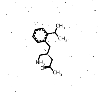 CC(=O)C[C@@H](CN)Cc1ccccc1C(C)C